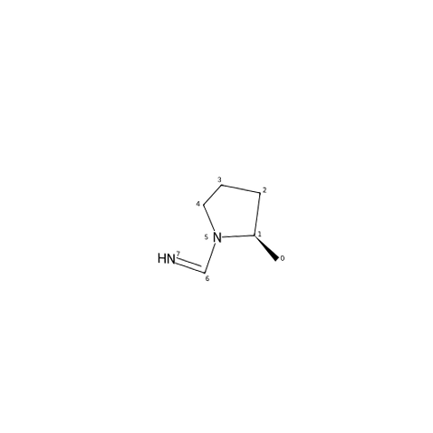 C[C@@H]1CCCN1C=N